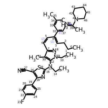 CCC/C=C(/C=C\c1nn(CC)c(N(CC)c2nc(-c3ccc(F)cc3)c(C#N)s2)c1C)C(\C=C(C)C)=C\N=C(/C)N1CCCCC1